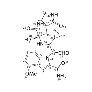 COc1cccc2c1cc(C(N)=O)n2[C@H](C=O)C(N[C@@](C)(CC1CCNC1=O)C(N)=O)C1CC1